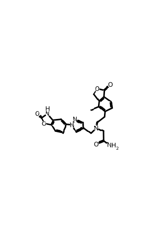 Cc1c(CCN(CC(N)=O)Cc2cnn(-c3ccc4oc(=O)[nH]c4c3)c2)ccc2c1COC2=O